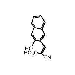 N#CC(=Cc1cc2ccccc2cc1O)C(=O)O